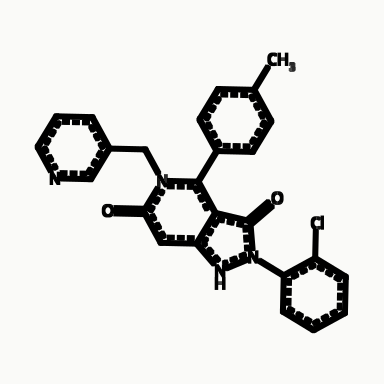 Cc1ccc(-c2c3c(=O)n(-c4ccccc4Cl)[nH]c3cc(=O)n2Cc2cccnc2)cc1